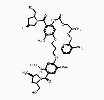 C=C1CC(CO)N(C(=O)c2cc(OC)c(OCCCOc3cc(NC(=O)OCC(C)SSc4ncccc4[N+](=O)[O-])c(C(=O)N4CC(=C)CC4CO)cc3OC)cc2NC(=O)O)C1